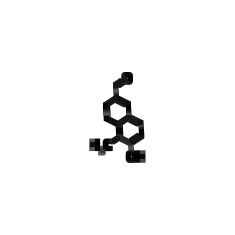 Cc1c(O)ccc2cc(C=O)ccc12